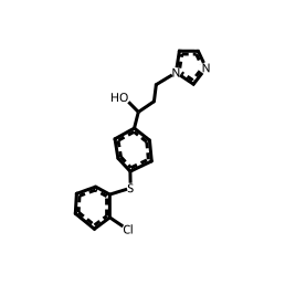 OC(CCn1ccnc1)c1ccc(Sc2ccccc2Cl)cc1